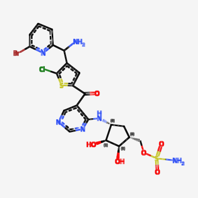 NC(c1cccc(Br)n1)c1cc(C(=O)c2cncnc2N[C@@H]2C[C@H](COS(N)(=O)=O)[C@@H](O)[C@H]2O)sc1Cl